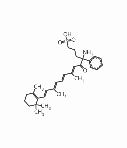 CC1=C(/C=C/C(C)=C/C=C/C(C)=C/C(=O)C(N)(CCCS(=O)(=O)O)c2ccccc2)C(C)(C)CCC1